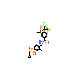 CCOC(c1ccc(C(=O)NCc2ccc(S(=O)(=O)CC3CC3)cc2C)cc1)(C(F)(F)F)C(F)(F)F